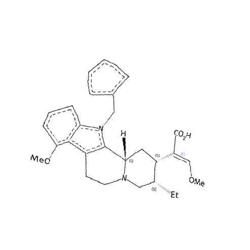 CC[C@@H]1CN2CCc3c(n(Cc4ccccc4)c4cccc(OC)c34)[C@@H]2C[C@@H]1/C(=C\OC)C(=O)O